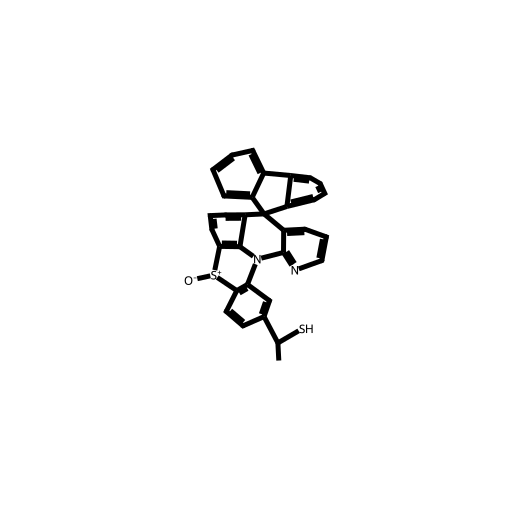 CC(S)c1ccc2c(c1)N1c3ncccc3C3(c4ccccc4-c4ccccc43)c3cccc(c31)[S+]2[O-]